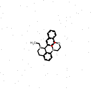 CCN1CCc2cccc(N3CCOCC3)c2C1c1ccc2ccccc2c1